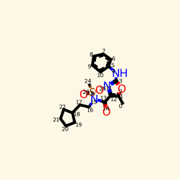 Cc1oc(Nc2ccccc2)nc1C(=O)N(CCC1CCCC1)S(C)(=O)=O